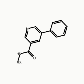 CC(C)(C)NC(=O)c1cncc(-c2ccccc2)c1